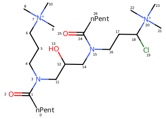 CCCCCC(=O)N(CCC[N+](C)(C)C)CC(O)CN(CCC(Cl)[N+](C)(C)C)C(=O)CCCCC